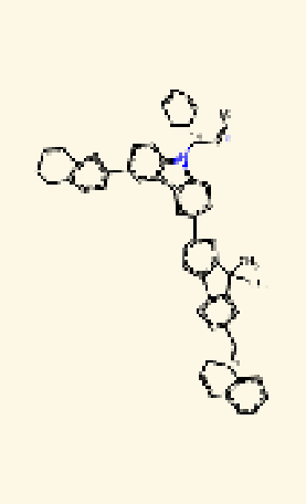 CC/C=C\[C@@H](C1C=CC=CC1)n1c2ccc(-c3ccc4c(c3)C=CCC4)cc2c2cc(-c3ccc4c(c3)C(C)(C)c3cc(C[C@@H]5CC=Cc6ccccc65)ccc3-4)ccc21